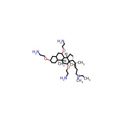 CCN(C)CCC[C@@H](C)[C@H]1CC[C@H]2C3[C@H](OCCN)CC4C[C@H](OCCN)CC[C@]4(C)[C@H]3C[C@H](OCCN)C12C